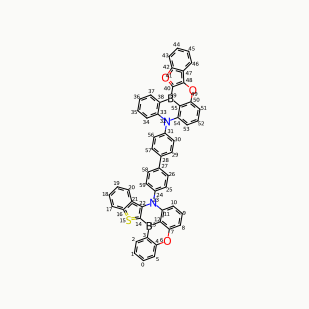 c1ccc2c(c1)Oc1cccc3c1B2c1sc2ccccc2c1N3c1ccc(-c2ccc(N3c4ccccc4B4c5oc6ccccc6c5Oc5cccc3c54)cc2)cc1